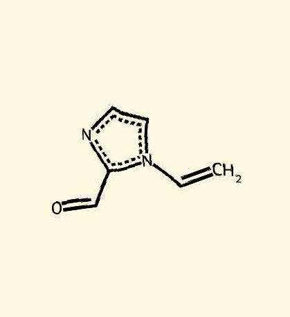 C=Cn1ccnc1C=O